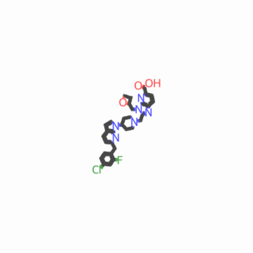 O=C(O)c1ccc2nc(CN3CCC(n4ccc5ccc(Cc6ccc(Cl)cc6F)nc54)CC3)n(CC3CCO3)c2n1